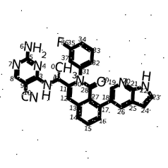 C[C@H](Nc1nc(N)ncc1C#N)c1cc2cccc(-c3cnc4[nH]ccc4c3)c2c(=O)n1-c1cccc(F)c1